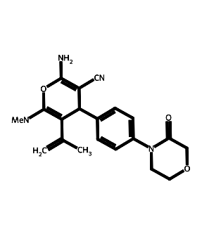 C=C(C)C1=C(NC)OC(N)=C(C#N)C1c1ccc(N2CCOCC2=O)cc1